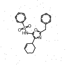 O=S(=O)(Nc1oc(Cc2ccccc2)nc1C1C=CCCC1)c1ccccc1